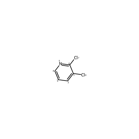 Clc1c[c]cnc1Cl